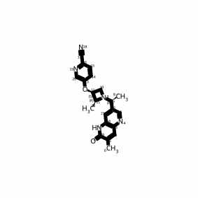 Cc1cc2ncc([C@@H](C)N3C[C@H](Oc4ccc(C#N)nc4)[C@H]3C)cc2[nH]c1=O